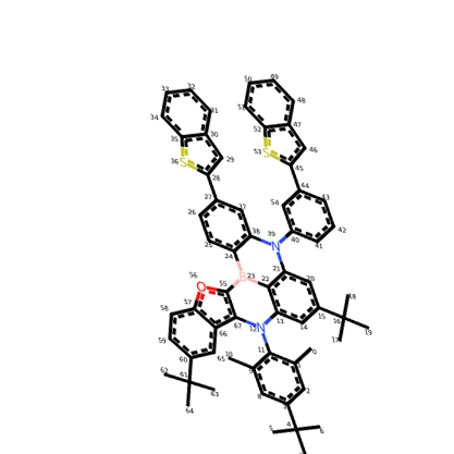 Cc1cc(C(C)(C)C)cc(C)c1N1c2cc(C(C)(C)C)cc3c2B(c2ccc(-c4cc5ccccc5s4)cc2N3c2cccc(-c3cc4ccccc4s3)c2)c2oc3ccc(C(C)(C)C)cc3c21